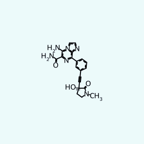 CN1CC[C@@](O)(C#Cc2cccc(-c3nc(C(N)=O)c(N)n4ccnc34)c2)C1=O